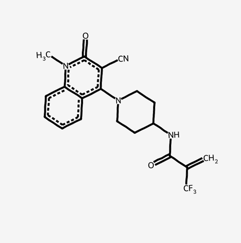 C=C(C(=O)NC1CCN(c2c(C#N)c(=O)n(C)c3ccccc23)CC1)C(F)(F)F